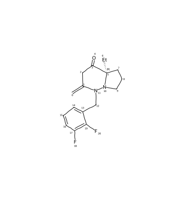 C=C1CC(=O)[C@@]2(CC)CCCN2N1Cc1cccc(F)c1F